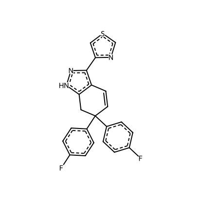 Fc1ccc(C2(c3ccc(F)cc3)C=Cc3c(-c4cscn4)n[nH]c3C2)cc1